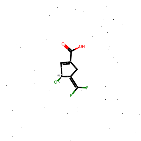 O=C(O)C1=C[C@H](Cl)C(=C(F)F)C1